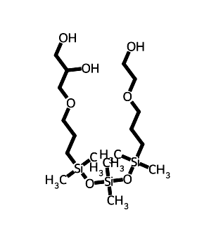 C[Si](C)(CCCOCCO)O[Si](C)(C)O[Si](C)(C)CCCOCC(O)CO